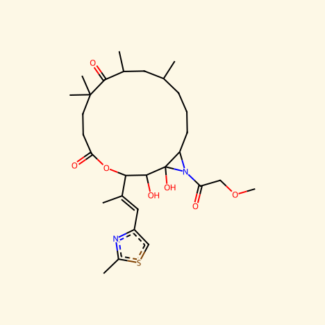 COCC(=O)N1C2CCCC(C)CC(C)C(=O)C(C)(C)CCC(=O)OC(C(C)=Cc3csc(C)n3)C(O)C21O